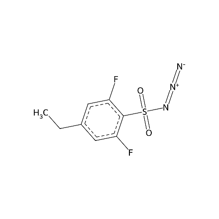 CCc1cc(F)c(S(=O)(=O)N=[N+]=[N-])c(F)c1